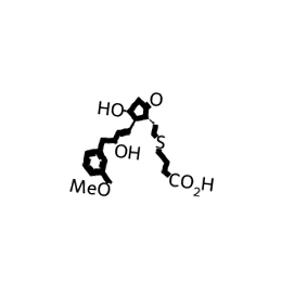 COCc1cccc(C[C@H](O)/C=C/[C@H]2[C@H](O)CC(=O)[C@@H]2CCSCCCC(=O)O)c1